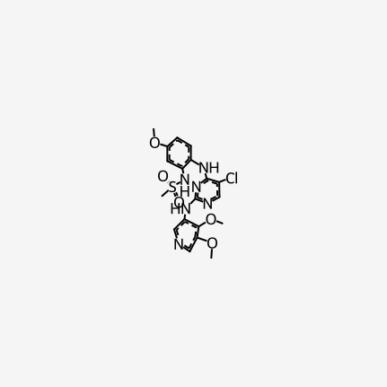 COc1ccc(Nc2nc(Nc3cncc(OC)c3OC)ncc2Cl)c(NS(C)(=O)=O)c1